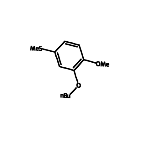 CCCCOc1cc(SC)ccc1OC